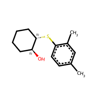 Cc1ccc(S[C@H]2CCCC[C@@H]2O)c(C)c1